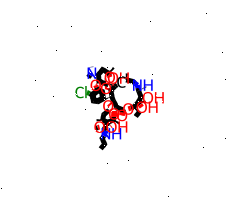 CCCNC[C@]1(O)[C@H](C)O[C@@H](O[C@H]2[C@H](C)[C@@H](O[C@@H]3O[C@H](C)C[C@H](N(C)C)[C@H]3Oc3ccccc3Cl)[C@](C)(O)C[C@@H](C)CN[C@H](C)[C@@H](O)[C@](C)(O)[C@@H](CC)OC(=O)[C@@H]2C)C[C@@]1(C)OC